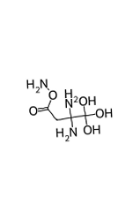 NOC(=O)CC(N)(N)C(O)(O)O